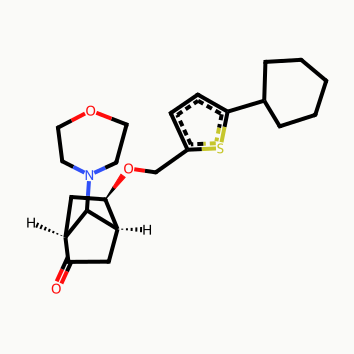 O=C1C[C@H]2C(N3CCOCC3)[C@@H]1C[C@H]2OCc1ccc(C2CCCCC2)s1